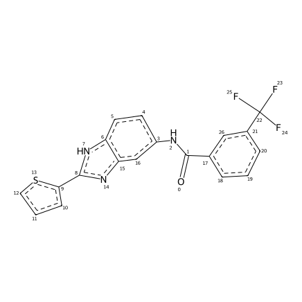 O=C(Nc1ccc2[nH]c(-c3cccs3)nc2c1)c1cccc(C(F)(F)F)c1